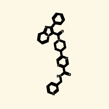 O=C(NCc1cccnc1)c1cnc(C2CCN(C(=O)c3c(-c4ccccc4)nc4ccccn34)CC2)cn1